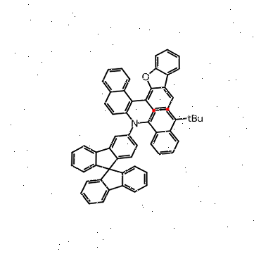 CC(C)(C)c1ccc(N(c2ccc3c(c2)-c2ccccc2C32c3ccccc3-c3ccccc32)c2ccc3ccccc3c2-c2cccc3c2oc2ccccc23)c2ccccc12